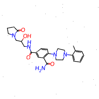 Cc1ccccc1N1CCN(c2ccc(C(=O)NCC(O)CN3CCCC3=O)cc2C(N)=O)CC1